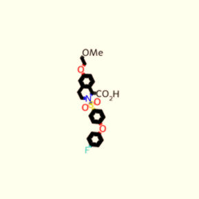 COCCOc1ccc2c(c1)CCN(S(=O)(=O)c1ccc(Oc3ccc(F)cc3)cc1)C2C(=O)O